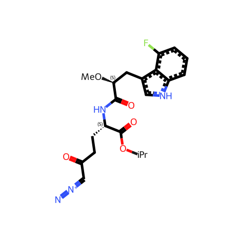 CO[C@@H](Cc1c[nH]c2cccc(F)c12)C(=O)N[C@@H](CCC(=O)C=[N+]=[N-])C(=O)OC(C)C